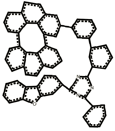 c1ccc(-c2nc(-c3cccc(-c4cccc(-c5cc6ccc7cccc8c9cccc%10ccc%11cccc(c(c5)c6c78)c%11c%109)c4)c3)nc(-c3ccc4c(c3)oc3ccccc34)n2)cc1